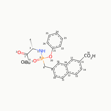 CC(C)COC(=O)[C@H](C)NP(=O)(Cc1ccc2ccc(C(=O)O)cc2c1)Oc1ccccc1